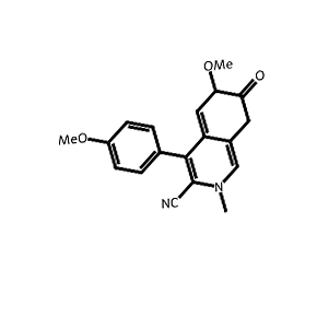 COc1ccc(C2=C(C#N)N(C)C=C3CC(=O)C(OC)C=C32)cc1